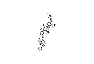 CCN1CCN(Cc2ccc(NC(=O)C3CCc4ccc(Oc5ccnc6c5cc(C)n6S(=O)(=O)c5ccccc5)cc4N3C(=O)O)cc2C(F)(F)F)CC1